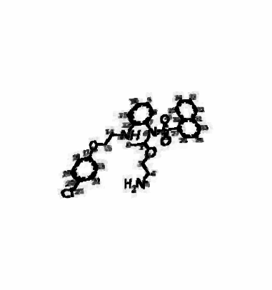 CC(OCCN)N(c1ccccc1NCCOc1ccc(Cl)cc1)S(=O)(=O)c1cccc2ccccc12